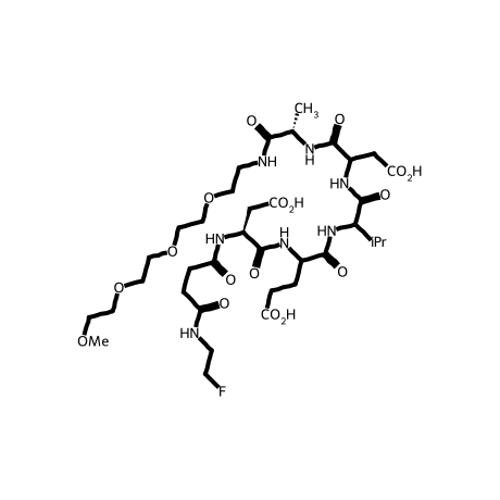 COCCOCCOCCOCCNC(=O)[C@H](C)NC(=O)C(CC(=O)O)NC(=O)C(NC(=O)C(CCC(=O)O)NC(=O)[C@H](CC(=O)O)NC(=O)CCC(=O)NCCF)C(C)C